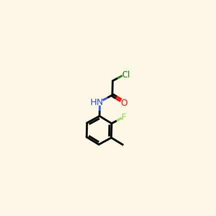 Cc1cccc(NC(=O)CCl)c1F